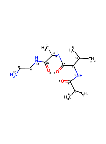 CC(C)C(=O)NC(C(=O)N[C@@H](C)C(=O)NCCN)C(C)C